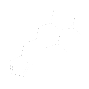 C[N](C)[Hf]([N](C)C)[N](C)CCCC1C=CC=C1